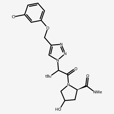 CNC(=O)[C@H]1CC(O)CN1C(=O)C(n1cc(COc2cccc(Cl)c2)nn1)C(C)(C)C